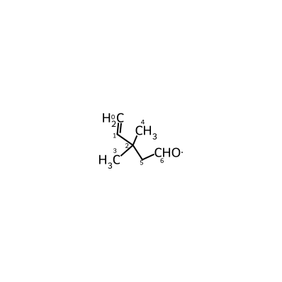 C=CC(C)(C)C[C]=O